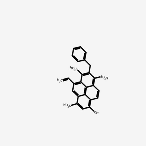 C=Cc1cc2c(S(=O)(=O)O)cc(O)c3ccc4c(S(=O)(=O)O)c(Cc5ccccc5)c(S(=O)(=O)O)c1c4c32